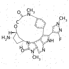 CN1C(=O)CO[C@@H]2C[C@H](C[C@@H]2N)n2c(=O)n(C)c3cnc4[nH]c(-c5cn(C)nc5F)c(c4c32)-c2ccc1cc2